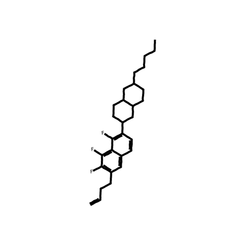 C=CCCc1cc2ccc(C3CCC4CC(CCCCC)CCC4C3)c(F)c2c(F)c1F